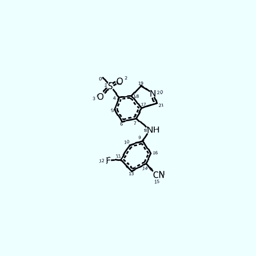 CS(=O)(=O)c1ccc(Nc2cc(F)cc(C#N)c2)c2c1CN=C2